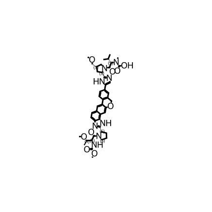 COC[C@H]1C[C@@H](c2ncc(-c3ccc4c(c3)COc3cc5c(ccc6nc([C@@H]7CC[C@H](C)N7C(=O)[C@@H](NC(=O)OC)[C@@H](C)OC)[nH]c65)cc3-4)[nH]2)N(C(=O)[C@H](C(C)C)N(C)C(=O)O)C1